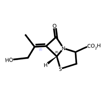 C/C(CO)=C1\C(=O)N2C(C(=O)O)CS[C@H]12